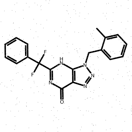 Cc1ccccc1Cn1nnc2c(=O)nc(C(F)(F)c3ccccc3)[nH]c21